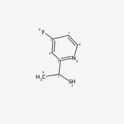 CC(S)c1cc(F)ccn1